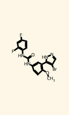 COc1ccc(NC(=O)Nc2ccc(F)cc2F)cc1-c1[nH]ncc1Br